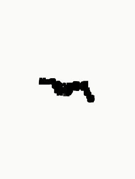 COc1ccc2c(cnn2-c2nccc(Nc3ccc(-c4cnn(COCC[Si](C)(C)C)c4)cc3)n2)c1